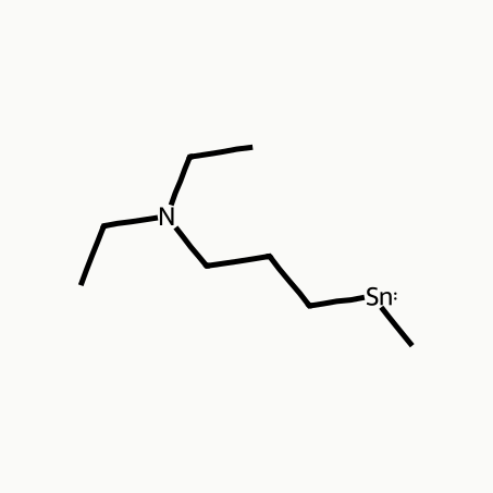 CCN(CC)CC[CH2][Sn][CH3]